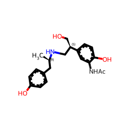 CC(=O)Nc1cc([C@H](CO)CN[C@H](C)Cc2ccc(O)cc2)ccc1O